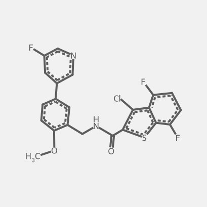 COc1ccc(-c2cncc(F)c2)cc1CNC(=O)c1sc2c(F)ccc(F)c2c1Cl